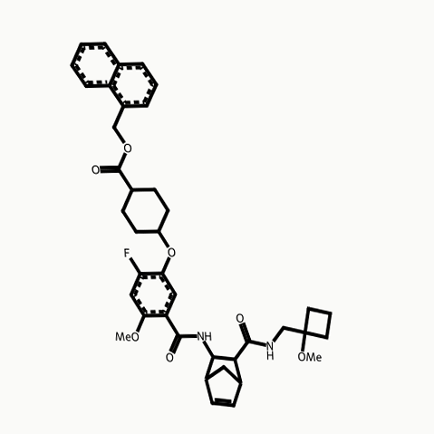 COc1cc(F)c(OC2CCC(C(=O)OCc3cccc4ccccc34)CC2)cc1C(=O)NC1C2C=CC(C2)C1C(=O)NCC1(OC)CCC1